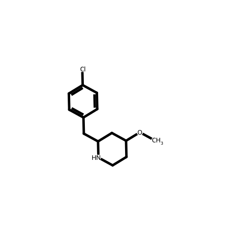 COC1CCNC(Cc2ccc(Cl)cc2)C1